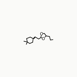 CCCC1COC(CC=C2CCC(C)(C)CC2)O1